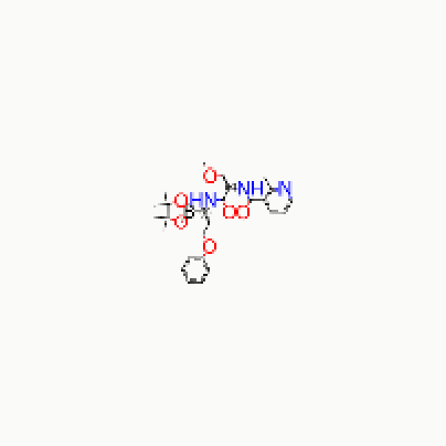 COC[C@@H](NC(=O)c1cccnc1C)C(=O)N[C@@H](CCOc1ccccc1)B1OC(C)(C)C(C)(C)O1